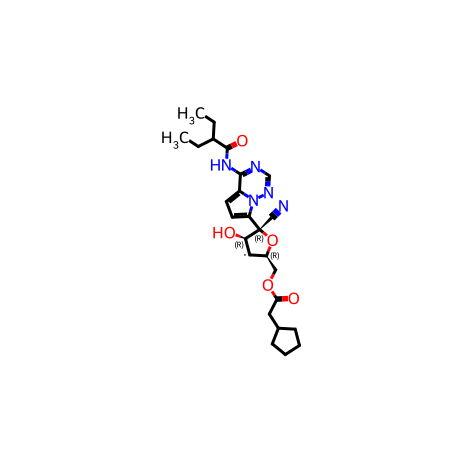 CCC(CC)C(=O)Nc1ncnn2c([C@]3(C#N)O[C@@H](COC(=O)CC4CCCC4)[CH][C@H]3O)ccc12